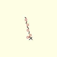 CCOCCOCCOCCOC(=O)C(C)(C)C